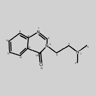 CN(C)CCn1cnc2ccccc2c1=O